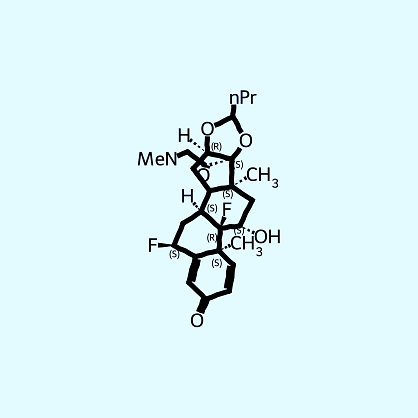 CCCC1O[C@@H]2CC3[C@@H]4C[C@H](F)C5=CC(=O)C=C[C@]5(C)[C@@]4(F)[C@@H](O)C[C@]3(C)[C@]2(C(=O)CNC)O1